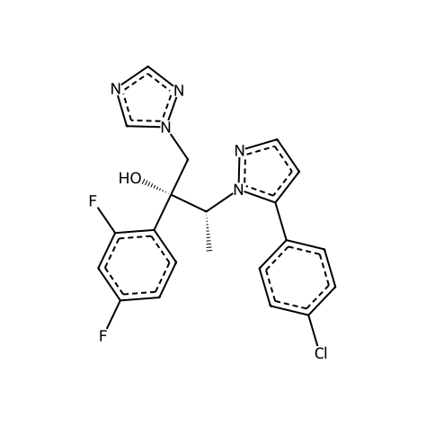 C[C@@H](n1nccc1-c1ccc(Cl)cc1)[C@](O)(Cn1cncn1)c1ccc(F)cc1F